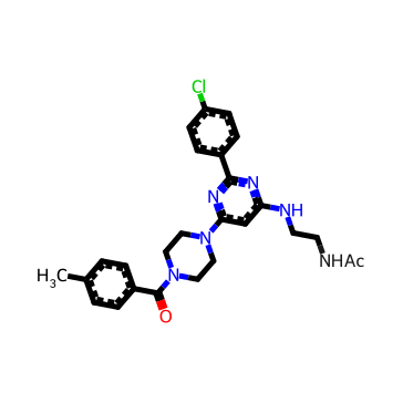 CC(=O)NCCNc1cc(N2CCN(C(=O)c3ccc(C)cc3)CC2)nc(-c2ccc(Cl)cc2)n1